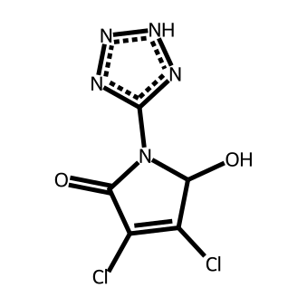 O=C1C(Cl)=C(Cl)C(O)N1c1nn[nH]n1